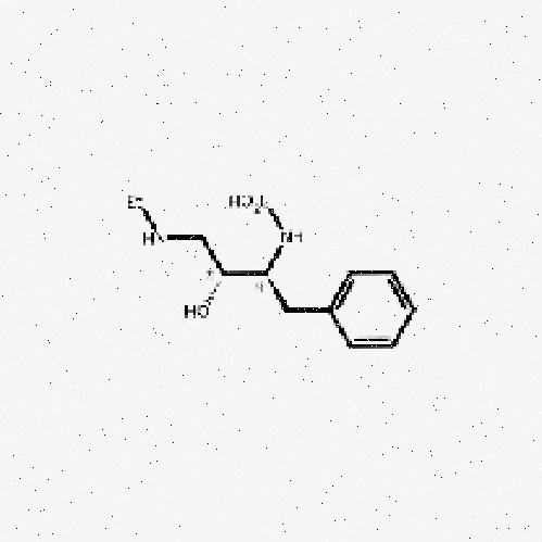 CCNC[C@@H](O)[C@H](Cc1ccccc1)NC(=O)O